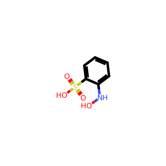 O=S(=O)(O)c1ccccc1NO